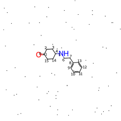 O=C1CCC(NCCc2ccccc2)CC1